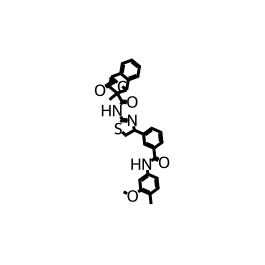 COc1cc(NC(=O)c2cccc(C3CSC(NC(=O)C4(C)CC5C(=O)CC4c4ccccc45)=N3)c2)ccc1C